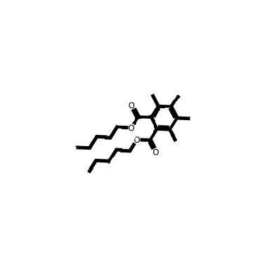 CCCCCOC(=O)c1c(C)c(C)c(C)c(C)c1C(=O)OCCCCC